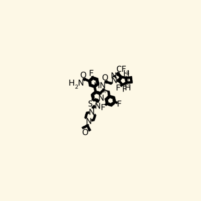 NC(=O)c1cc(-c2cc3sc(N4CCN(C5COC5)CC4)nc3nc2[C@H](Cc2cc(F)cc(F)c2)NC(=O)Cn2nc(C(F)(F)F)c3c2C(F)(F)[C@@H]2CC[C@H]32)ccc1F